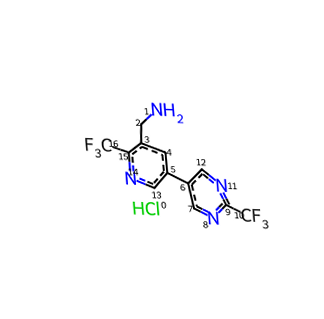 Cl.NCc1cc(-c2cnc(C(F)(F)F)nc2)cnc1C(F)(F)F